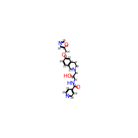 O=C(NC[C@H](O)CN1CCc2cc(OCc3cnco3)ccc2C1)c1ccncc1